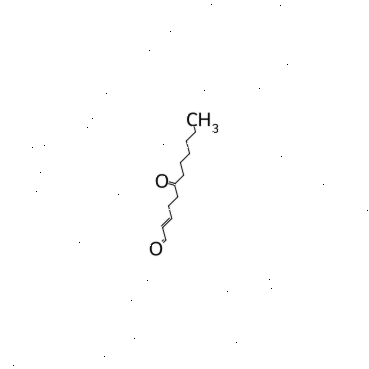 CCCCCCC(=O)CCC=CC=O